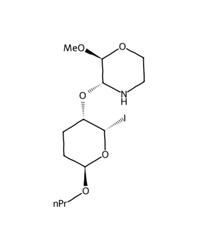 CCCO[C@H]1CC[C@H](O[C@H]2NCCO[C@@H]2OC)[C@H](I)O1